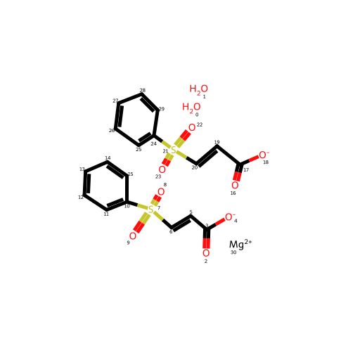 O.O.O=C([O-])/C=C/S(=O)(=O)c1ccccc1.O=C([O-])/C=C/S(=O)(=O)c1ccccc1.[Mg+2]